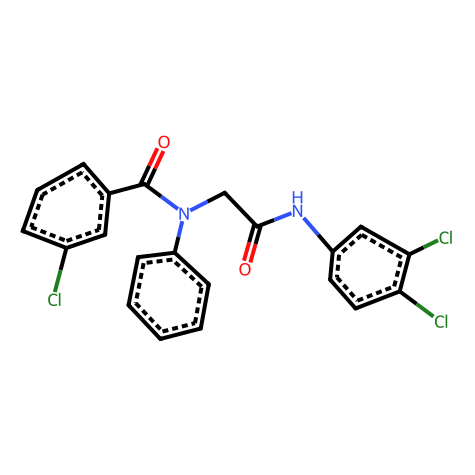 O=C(CN(C(=O)c1cccc(Cl)c1)c1ccccc1)Nc1ccc(Cl)c(Cl)c1